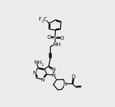 C=CC(=O)N1CCC[C@@H](n2nc(C#CCNS(=O)(=O)c3cccc(C(F)(F)F)c3)c3c(N)ncnc32)C1